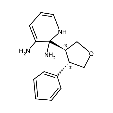 NC1=CC=CNC1(N)[C@H]1COC[C@@H]1c1ccccc1